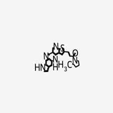 CC1CCCN1C(=O)C=Cc1cc2c(Nc3ccc4[nH]ccc4c3)c(C#N)cnc2s1